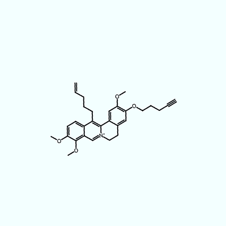 C#CCCCOc1cc2c(cc1OC)-c1c(CCCC=C)c3ccc(OC)c(OC)c3c[n+]1CC2